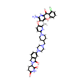 Cc1nc(N2CCC(CN3CCN(c4ccc5c(c4)C(=O)N(C4CCC(=O)NC4=O)C5)CC3)CC2)ccc1Oc1cc2oc3cccc(Cl)c3c(=O)c2nc1N